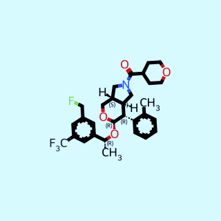 Cc1ccccc1[C@@H]1[C@@H](O[C@H](C)c2cc(CF)cc(C(F)(F)F)c2)OC[C@@H]2CN(C(=O)C3CCOCC3)C[C@H]21